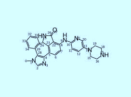 Cn1cnc(-c2ccc(Nc3ccc(N4CCNCC4)cn3)c3c2CNC3=O)c1-c1ccccc1